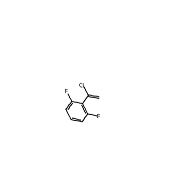 C=C(Cl)c1c(F)cccc1F